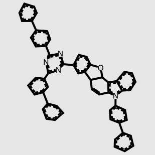 C1=CC2c3cc(-c4nc(-c5ccc(-c6ccccc6)cc5)nc(-c5cccc(-c6ccccc6)c5)n4)ccc3OC2c2c1n(-c1ccc(-c3ccccc3)cc1)c1ccccc21